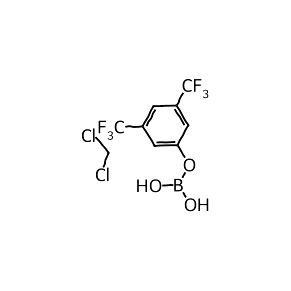 ClCCl.OB(O)Oc1cc(C(F)(F)F)cc(C(F)(F)F)c1